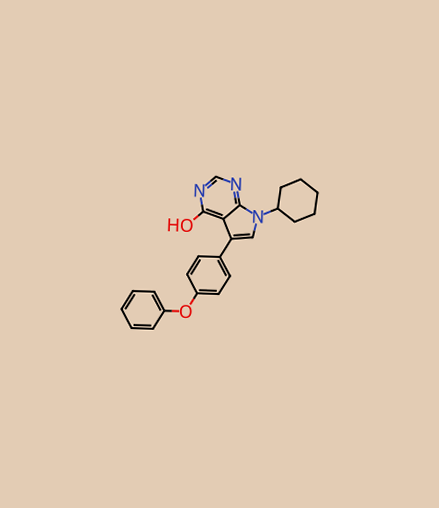 Oc1ncnc2c1c(-c1ccc(Oc3ccccc3)cc1)cn2C1CCCCC1